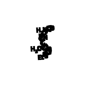 CCc1cc2c(s1)CCO[C@@]21CCN(Cc2cnc(OCC3(N)CCOC3)nc2)[C@@H](C)C1